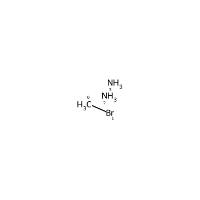 CBr.N.N